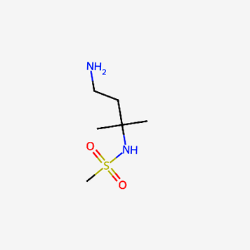 CC(C)(CCN)NS(C)(=O)=O